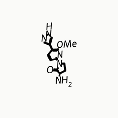 COc1nc(N2CCC(N)C2=O)ccc1-c1cn[nH]c1